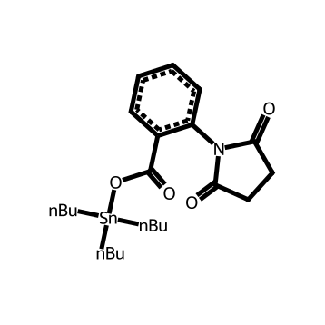 CCC[CH2][Sn]([CH2]CCC)([CH2]CCC)[O]C(=O)c1ccccc1N1C(=O)CCC1=O